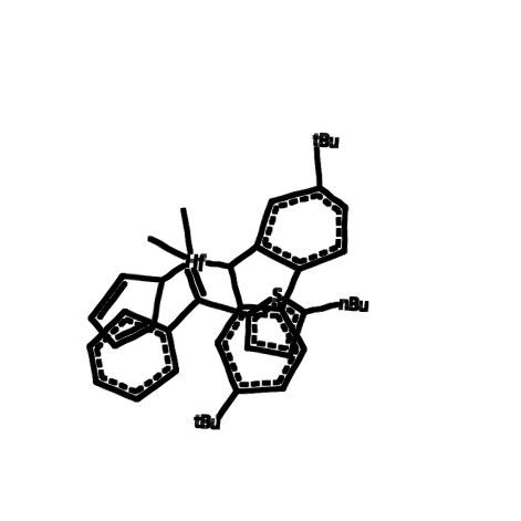 CCCCc1ccc([C](c2ccccc2)=[Hf]([CH3])([CH3])([CH]2C=CC=C2)[CH]2c3cc(C(C)(C)C)ccc3-c3ccc(C(C)(C)C)cc32)s1